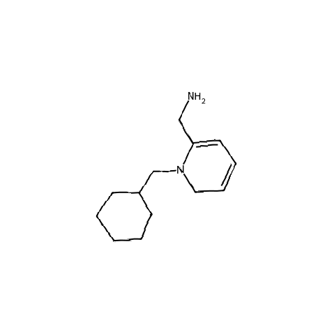 NCC1=CC=CCN1CC1CCCCC1